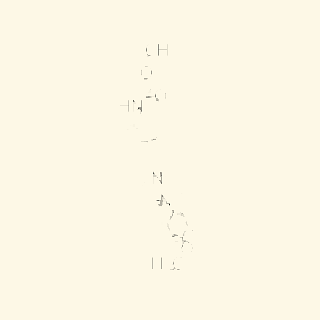 CCOCC(=O)N[C@H]1CC[C@H](CCN2CCN(c3ccc(OC)cc3)CC2)CC1